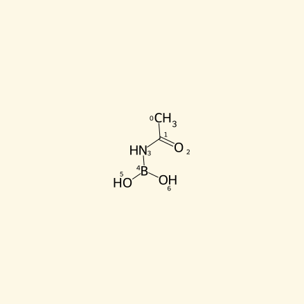 CC(=O)NB(O)O